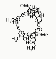 C=C1C2C[C@@H]3O[C@H](C[C@H](O)CN)[C@H](OC)[C@H]3CC(=O)C[C@H]3CC[C@@H]4O[C@@H]5[C@@H](C)[C@@H](O[C@@]6(CCC7CC(=C)[C@H](CCC(C[C@H]1C)O2)O7)C[C@H](OC)[C@@H]5O6)C4O3